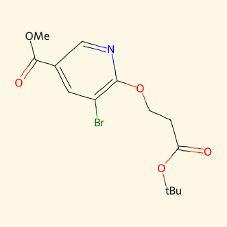 COC(=O)c1cnc(OCCC(=O)OC(C)(C)C)c(Br)c1